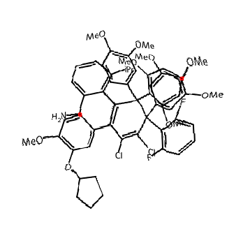 COc1ccc(C2(c3c(OC)cccc3OC)C(c3c(CN)cccc3C(C)C)=C(c3ccc(OC)c(OC4CCCC4)c3)C(Cl)=C(Cl)C2(c2cc(OC)c(OC)c(OC)c2)c2c(F)cccc2F)cc1OC